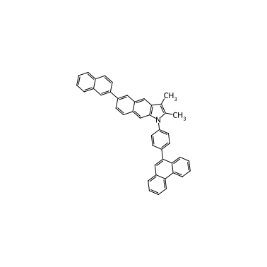 Cc1c(C)n(-c2ccc(-c3cc4ccccc4c4ccccc34)cc2)c2cc3ccc(-c4ccc5ccccc5c4)cc3cc12